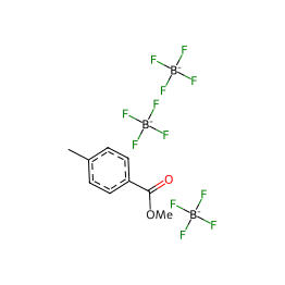 COC(=O)c1ccc(C)cc1.F[B-](F)(F)F.F[B-](F)(F)F.F[B-](F)(F)F